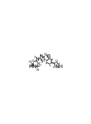 CN(c1nc2c(s1)-c1ccc(-c3cc[nH]c3)cc1OC2)C1CC(C)(C)NC(C)(C)C1